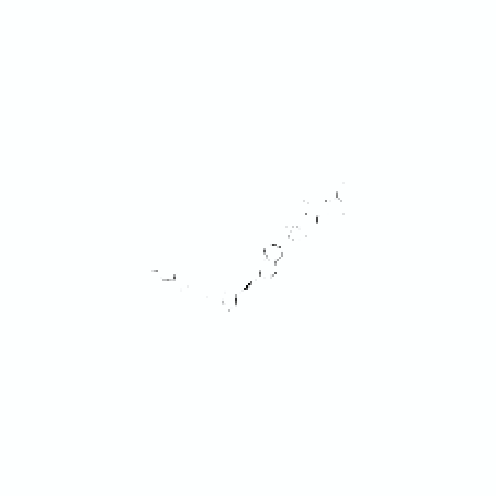 COC(=O)N[C@H](C(=O)N1CCC[C@H]1C1=NCC(c2ccc3cc(C#Cc4cnc(CCCCNC(=O)CC(C)C)[nH]4)ccc3c2)N1)C(C)C